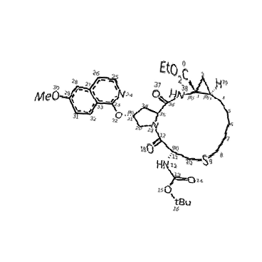 CCOC(=O)[C@@]12C[C@H]1CCCCCSC[C@H](NC(=O)OC(C)(C)C)C(=O)N1C[C@H](Oc3nccc4cc(OC)ccc34)CC1C(=O)N2